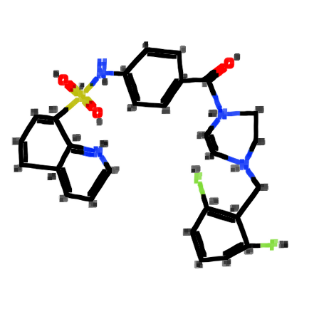 O=C(c1ccc(NS(=O)(=O)c2cccc3cccnc23)cc1)N1C=CN(Cc2c(F)cccc2F)CC1